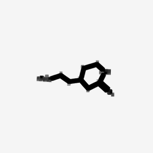 CCCCCCCC1CCNC(=O)C1